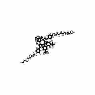 CCCOCCOCCOc1ccc(-c2cc3c(s2)C(c2ccc(C(C)(C)C)cc2)(c2ccc(C(C)(C)C)cc2)c2sc(-c4ccc(OCCCCCCOCCOC)cc4)cc2C2=C3C(F)(F)C(F)(I)C2(F)F)cc1